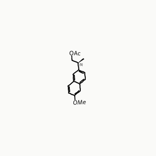 COc1ccc2cc([C@H](C)COC(C)=O)ccc2c1